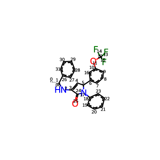 C[C@@H](NC1=CC(c2cccc(OC(F)(F)F)c2)N(c2ccccc2)C1=O)c1ccccc1